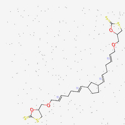 S=C1OC(COC/C=C/CC/C=C/C2CCC(/C=C/CC/C=C/COCC3CSC(=S)O3)C2)CS1